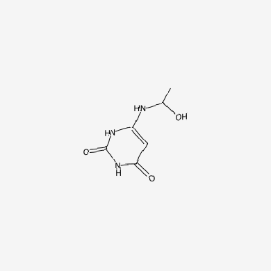 CC(O)Nc1cc(=O)[nH]c(=O)[nH]1